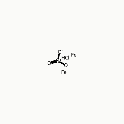 Cl.O=[N+]([O-])[O-].[Fe].[Fe]